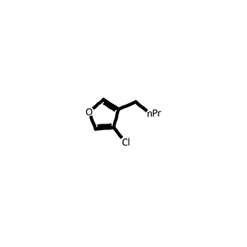 CCCCc1cocc1Cl